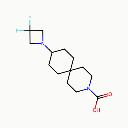 O=C(O)N1CCC2(CCC(N3CC(F)(F)C3)CC2)CC1